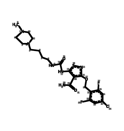 CN1CCN(CCCCNC(=O)Nc2snc(OCc3c(F)cc(Cl)cc3F)c2C(N)=O)CC1